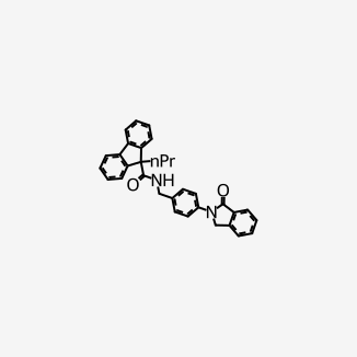 CCCC1(C(=O)NCc2ccc(N3Cc4ccccc4C3=O)cc2)c2ccccc2-c2ccccc21